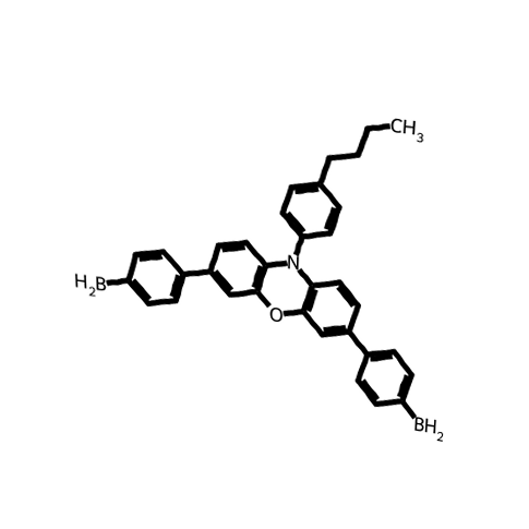 Bc1ccc(-c2ccc3c(c2)Oc2cc(-c4ccc(B)cc4)ccc2N3c2ccc(CCCC)cc2)cc1